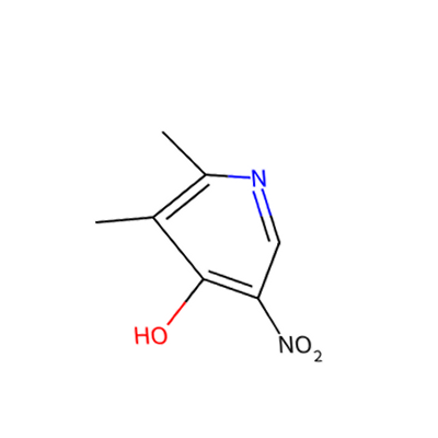 Cc1ncc([N+](=O)[O-])c(O)c1C